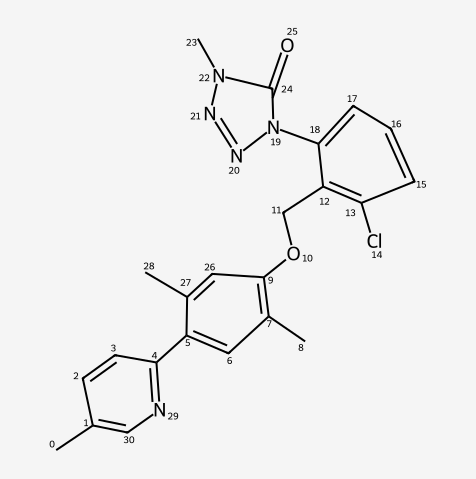 Cc1ccc(-c2cc(C)c(OCc3c(Cl)cccc3-n3nnn(C)c3=O)cc2C)nc1